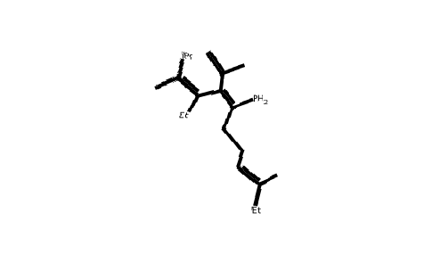 C=C(C)C(/C(CC)=C(/C)C(C)C)=C(\P)CC/C=C(\C)CC